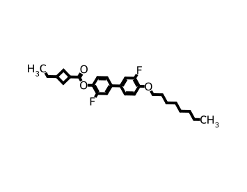 CCCCCCCCOc1ccc(-c2ccc(OC(=O)C3CC(CC)C3)c(F)c2)cc1F